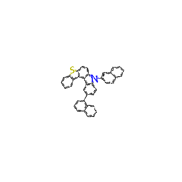 c1ccc2cc(-n3c4ccc(-c5cccc6ccccc56)cc4c4c5c(ccc43)sc3ccccc35)ccc2c1